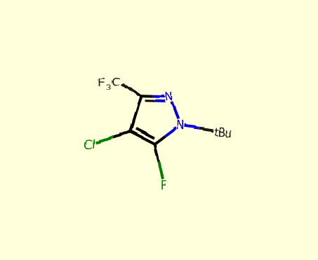 CC(C)(C)n1nc(C(F)(F)F)c(Cl)c1F